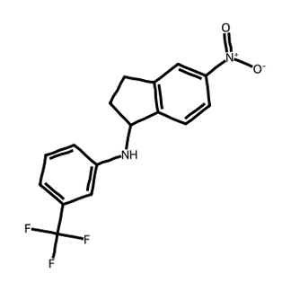 O=[N+]([O-])c1ccc2c(c1)CCC2Nc1cccc(C(F)(F)F)c1